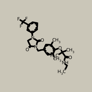 CCNC(=O)C(C)(C)Oc1c(C)cc(CN2C(=O)CN(c3cccc(C(F)(F)F)c3)C2=O)cc1C